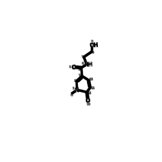 Cn1cc(C(=O)NCCO)ccc1=O